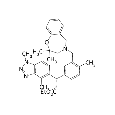 CCOC(=O)C[C@@H](c1ccc(C)c(CN2Cc3ccccc3OC(C)(C)C2)c1)c1ccc2c(nnn2C)c1C